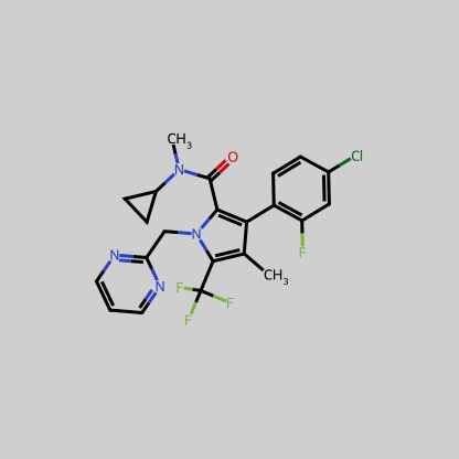 Cc1c(-c2ccc(Cl)cc2F)c(C(=O)N(C)C2CC2)n(Cc2ncccn2)c1C(F)(F)F